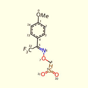 COc1ccc(C(=NOC[SH](=O)=O)C(F)(F)F)cc1